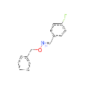 Fc1ccc(/C=N/OCc2ccccc2)cc1